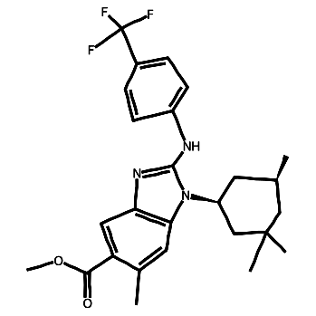 COC(=O)c1cc2nc(Nc3ccc(C(F)(F)F)cc3)n([C@H]3C[C@@H](C)CC(C)(C)C3)c2cc1C